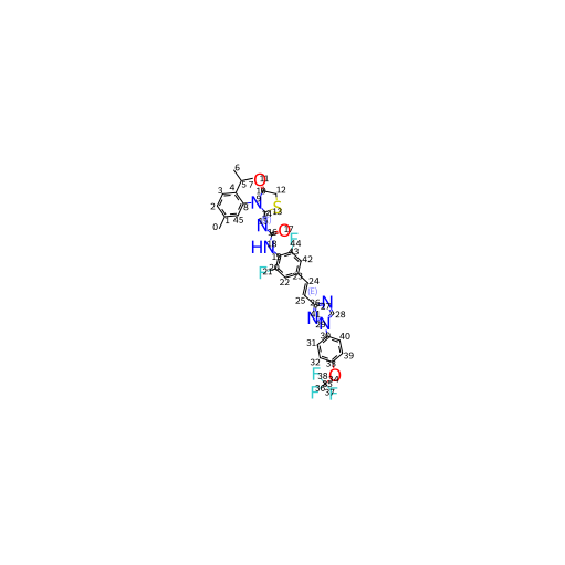 Cc1ccc(C(C)C)c(N2C(=O)CS/C2=N\C(=O)Nc2c(F)cc(/C=C/c3ncn(-c4ccc(OC(F)(F)F)cc4)n3)cc2F)c1